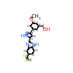 COc1cc(CO)cc(-c2cc(-c3nc4cc(C(F)(F)F)ccc4[nH]3)[nH]n2)c1